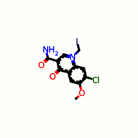 COc1cc2c(=O)c(C(N)=O)cn(CI)c2cc1Cl